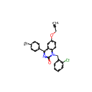 C#CCOc1ccc2c(c1)c(-c1ccc(C(C)C)cc1)nc(=O)n2Cc1ccccc1Cl